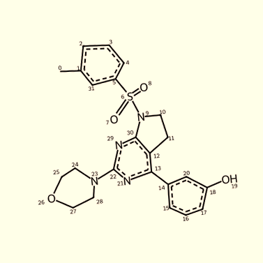 Cc1cccc(S(=O)(=O)N2CCc3c(-c4cccc(O)c4)nc(N4CCOCC4)nc32)c1